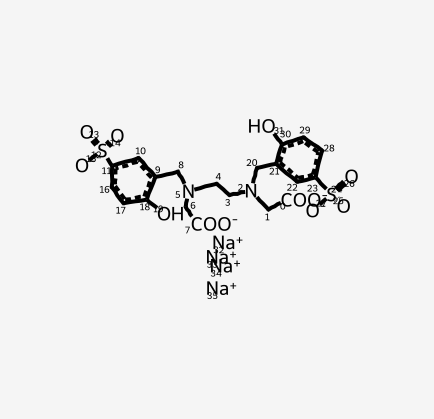 O=C([O-])CN(CCN(CC(=O)[O-])Cc1cc(S(=O)(=O)[O-])ccc1O)Cc1cc(S(=O)(=O)[O-])ccc1O.[Na+].[Na+].[Na+].[Na+]